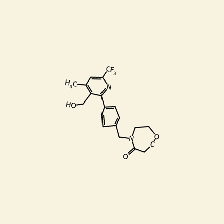 Cc1cc(C(F)(F)F)nc(-c2ccc(CN3CCOCCC3=O)cc2)c1CO